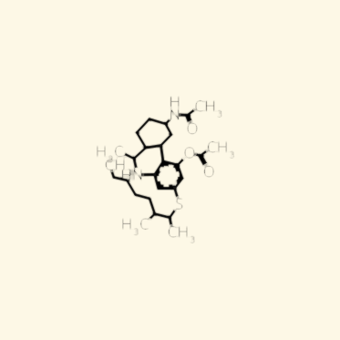 CCCCCC(C)C(C)Sc1cc2c(c(OC(C)=O)c1)C1CC(NC(C)=O)CCC1C(C)N2